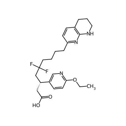 CCOc1ccc([C@H](CC(=O)O)CC(F)(F)CCCCc2ccc3c(n2)NCCC3)cn1